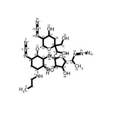 CCCN[C@@H]1CC(N=[N+]=[N-])[C@@H](O[C@H]2OC(CO)([C@@H](C)O)CC(O)C2N=[N+]=[N-])C(O[C@@H]2O[C@H](C(C)N=[N+]=[N-])C(O)C2O)C1O